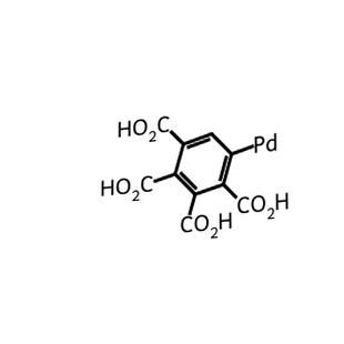 O=C(O)c1c[c]([Pd])c(C(=O)O)c(C(=O)O)c1C(=O)O